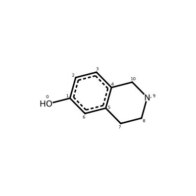 Oc1ccc2c(c1)CC[N]C2